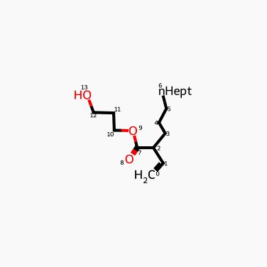 C=CC(CCCCCCCCCC)C(=O)OCCCO